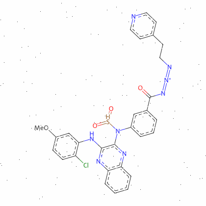 COc1ccc(Cl)c(Nc2nc3ccccc3nc2N(c2cccc(C(=O)N=[N+]=NCCc3ccncc3)c2)[SH](=O)=O)c1